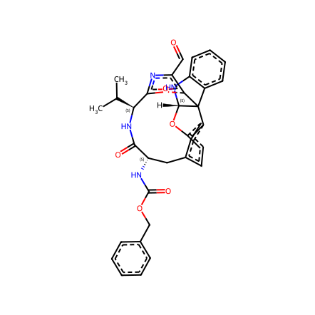 CC(C)[C@@H]1NC(=O)[C@@H](NC(=O)OCc2ccccc2)Cc2ccc3c(c2)C2(c4ccccc4N[C@H]2O3)c2oc1nc2C=O